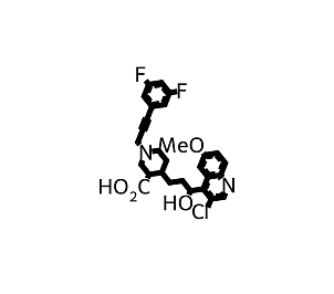 COc1ccc2ncc(Cl)c(C(O)CCC3CCN(CC#Cc4cc(F)cc(F)c4)CC3C(=O)O)c2c1